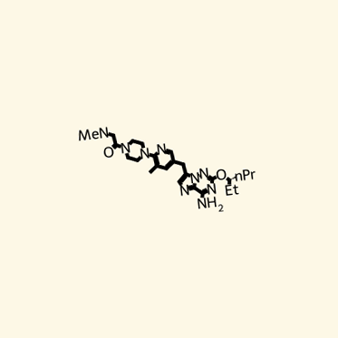 CCC[C@H](CC)Oc1nc(N)c2ncc(Cc3cnc(N4CCN(C(=O)CNC)CC4)c(C)c3)n2n1